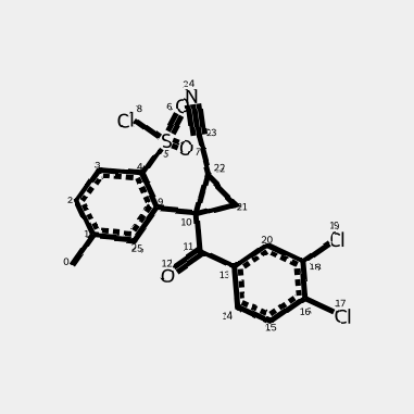 Cc1ccc(S(=O)(=O)Cl)c(C2(C(=O)c3ccc(Cl)c(Cl)c3)CC2C#N)c1